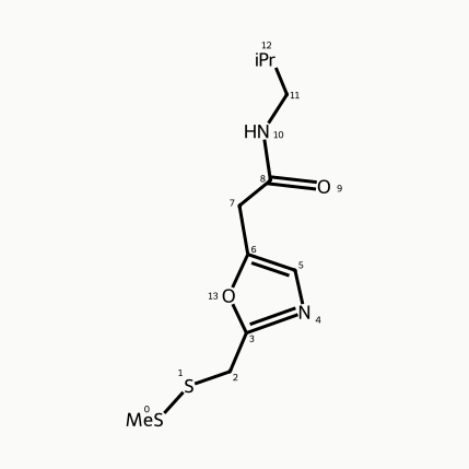 CSSCc1ncc(CC(=O)NCC(C)C)o1